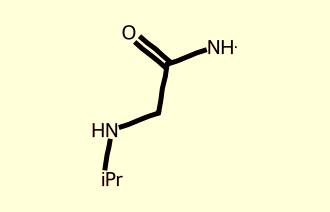 CC(C)NCC([NH])=O